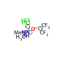 CN=C(NC)[C@H]1C[C@@]2(c3ccccc3)N[C@@H]1CC[C@@H]2OCCc1cc(C(F)(F)F)cc(C(F)(F)F)c1.Cl.Cl